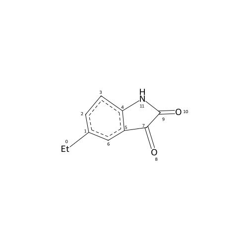 CCc1ccc2c(c1)C(=O)C(=O)N2